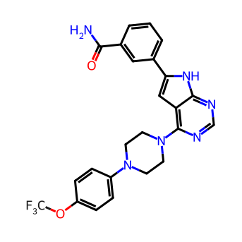 NC(=O)c1cccc(-c2cc3c(N4CCN(c5ccc(OC(F)(F)F)cc5)CC4)ncnc3[nH]2)c1